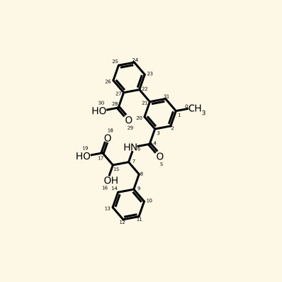 Cc1cc(C(=O)NC(Cc2ccccc2)C(O)C(=O)O)cc(-c2ccccc2C(=O)O)c1